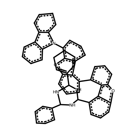 C1=CC(C2NC(c3ccccc3)NC(c3cccc4oc5cccc(-c6cccc7oc8c(-n9c%10ccccc%10c%10ccccc%109)cccc8c67)c5c34)N2)=CCC1